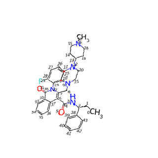 CC[C@H](NC(=O)c1c(CN2CCN(C3CCN(C)CC3)CC2)n(-c2ccccc2F)c(=O)c2ccccc12)c1ccccc1